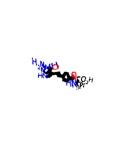 CCC[C@H](NC(=O)c1ccc(CCc2c[nH]c3nc(N)[nH]c(=O)c23)cc1)C(=O)O